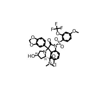 COc1ccc(S(=O)(=O)N2C(=O)C(c3ccc4c(c3)OCO4)(N3C[C@H](O)C[C@H]3C(=O)N(C)C)c3cc(Cl)ccc32)c(OC(F)(F)F)c1